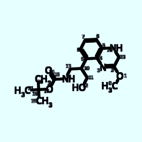 COC1=Nc2c(cccc2C(CO)CNC(=O)OC(C)(C)C)NC1